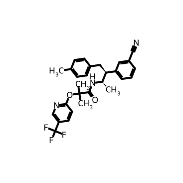 Cc1ccc(C[C@@H](c2cccc(C#N)c2)[C@H](C)NC(=O)C(C)(C)Oc2ccc(C(F)(F)F)cn2)cc1